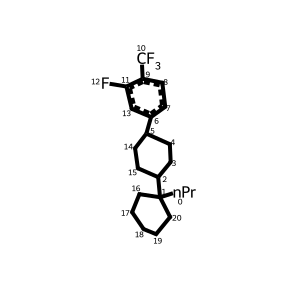 CCCC1(C2CCC(c3ccc(C(F)(F)F)c(F)c3)CC2)CCCCC1